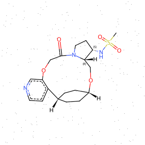 CS(=O)(=O)N[C@H]1CCN2C(=O)COc3cnccc3[C@H]3CC[C@H](CC3)OC[C@@H]12